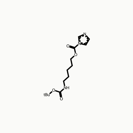 CC(C)(C)OC(=O)NCCCCCOC(=O)n1ccnc1